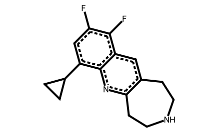 Fc1cc(C2CC2)c2nc3c(cc2c1F)CCNCC3